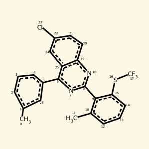 Cc1cccc(-c2nc(-c3c(C)cccc3SC(F)(F)F)nc3ccc(Cl)cc23)c1